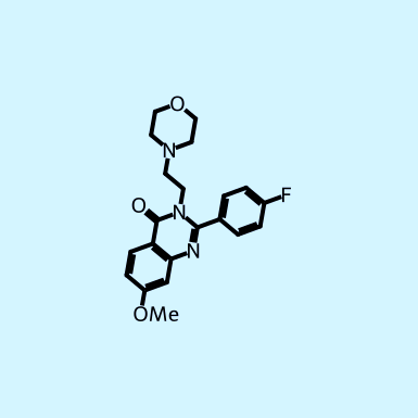 COc1ccc2c(=O)n(CCN3CCOCC3)c(-c3ccc(F)cc3)nc2c1